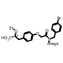 CCCCCCCN(Cc1ccc(Br)cc1)C(=O)COc1ccc(C[C@H](OCC)C(=O)O)cc1